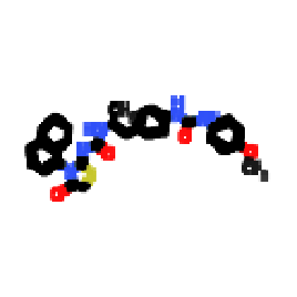 CC(Cc1ccc(NC(=O)Nc2ccc(OC(F)(F)F)cc2)cc1)NC(=O)N=C1SCC(=O)N1c1cccc2c1CCCC2